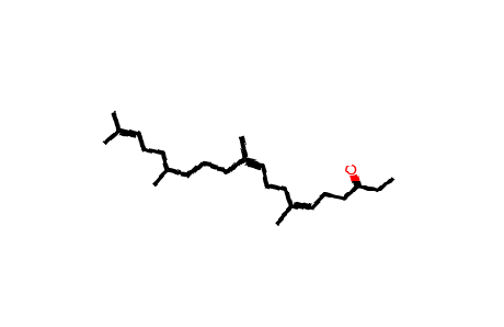 CCC(=O)CCC=C(C)CCC=C(C)CCCC(C)CCC=C(C)C